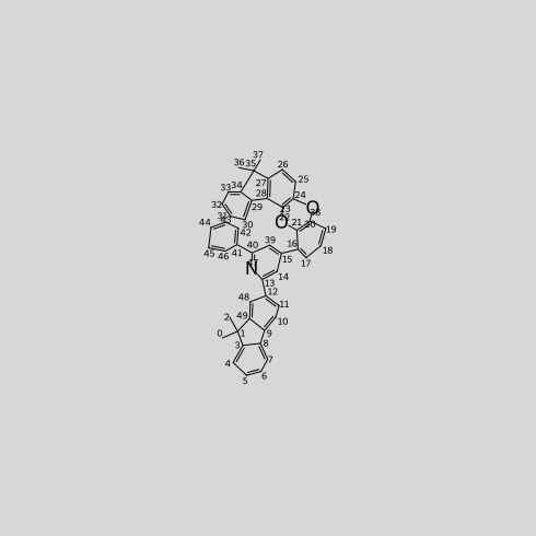 CC1(C)c2ccccc2-c2ccc(-c3cc(-c4cccc5c4Oc4c(ccc6c4-c4ccccc4C6(C)C)O5)cc(-c4ccccc4)n3)cc21